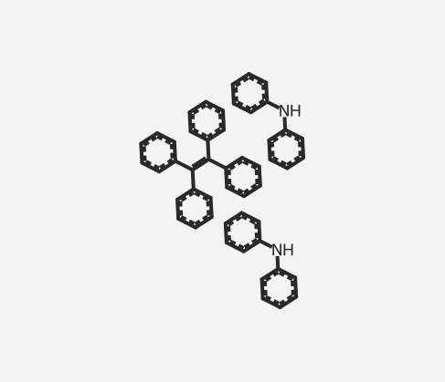 c1ccc(C(=C(c2ccccc2)c2ccccc2)c2ccccc2)cc1.c1ccc(Nc2ccccc2)cc1.c1ccc(Nc2ccccc2)cc1